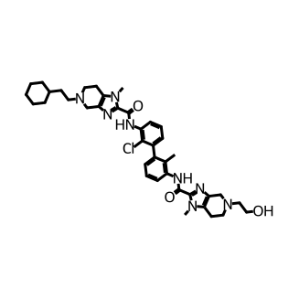 Cc1c(NC(=O)c2nc3c(n2C)CCN(CCO)C3)cccc1-c1cccc(NC(=O)c2nc3c(n2C)CCN(CCC2CCCCC2)C3)c1Cl